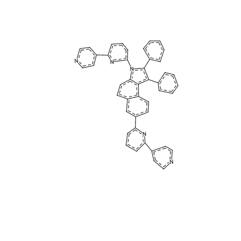 c1ccc(-c2c(-c3ccccc3)n(-c3cccc(-c4ccncc4)n3)c3ccc4cc(-c5cccc(-c6ccncc6)n5)ccc4c23)cc1